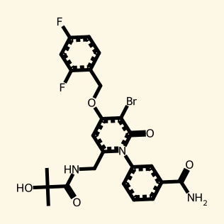 CC(C)(O)C(=O)NCc1cc(OCc2ccc(F)cc2F)c(Br)c(=O)n1-c1cccc(C(N)=O)c1